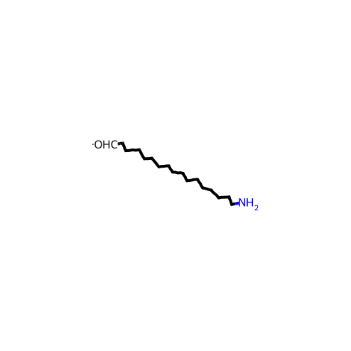 NCCCCCCCCCCCCCCCC[C]=O